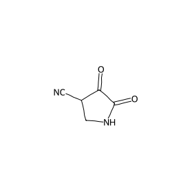 N#CC1CNC(=O)C1=O